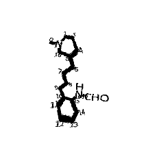 CN1CCCC(CCCCc2ccccc2NC=O)C1